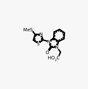 CSc1csc(-n2c(=O)n(CC(=O)O)c3ccccc32)n1